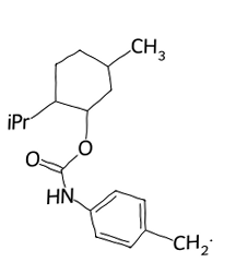 [CH2]c1ccc(NC(=O)OC2CC(C)CCC2C(C)C)cc1